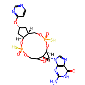 Nc1nc2c(ncn2[C@@H]2OC3COP(=O)(S)O[C@H]4C[C@H](Oc5ccncn5)C[C@@H]4COP(=O)(S)O[C@@H]2[C@@H]3O)c(=O)[nH]1